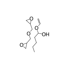 C(OCC1CO1)C1CO1.C=COC(O)CCCC